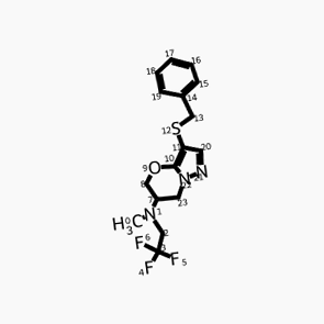 CN(CC(F)(F)F)C1COc2c(SCc3ccccc3)cnn2C1